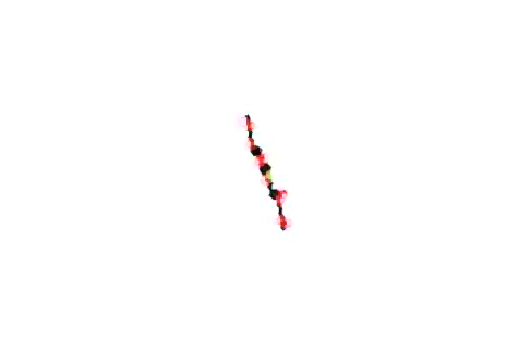 C=CC(=O)OCCCCOc1ccc(C(=O)Oc2ccc(SC(=O)/C=C/c3ccc(OCCCCOC(=O)C=C)c(OC)c3)cc2)cc1